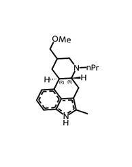 CCCN1CC(COC)C[C@@H]2c3cccc4[nH]c(C)c(c34)C[C@H]21